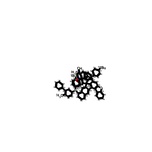 C=C/C=C\C1=C(C)C2(c3ccccc31)c1cc3c(N(c4ccc(C(C)(C)C)cc4)c4ccc(C)c(-c5ccccc5)c4)cccc3cc1-c1c2c(N(c2ccc(C(C)(C)C)cc2)c2ccc(C)c(-c3ccccc3)c2)cc2oc3ccccc3c12